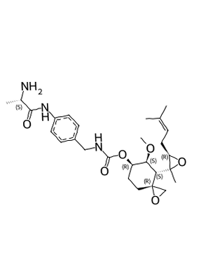 CO[C@H]1[C@H](C2(C)O[C@@H]2CC=C(C)C)[C@]2(CC[C@H]1OC(=O)NCc1ccc(NC(=O)[C@H](C)N)cc1)CO2